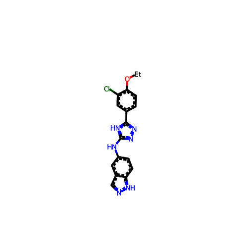 CCOc1ccc(-c2nnc(Nc3ccc4[nH]ncc4c3)[nH]2)cc1Cl